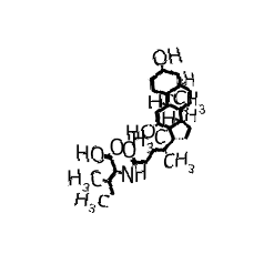 CC[C@@H](C)[C@H](NC(=O)CC[C@@H](C)[C@H]1CC[C@H]2[C@@H]3CC[C@@H]4C[C@H](O)CC[C@]4(C)[C@H]3C[C@H](O)[C@]12C)C(=O)O